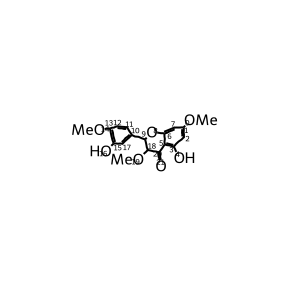 COc1cc(O)c2c(c1)OC(c1ccc(OC)c(O)c1)C(OC)C2=O